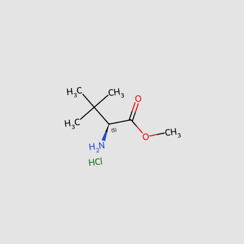 COC(=O)[C@@H](N)C(C)(C)C.Cl